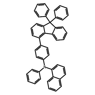 c1ccc(N(c2ccc(-c3cccc4c3-c3ccccc3C4(c3ccccc3)c3ccccc3)cc2)c2cccc3ccccc23)cc1